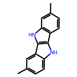 Cc1ccc2c(c1)[nH]c1c3cc(C)ccc3[nH]c21